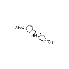 COc1ccc(CNc2ccc(O)cn2)cc1